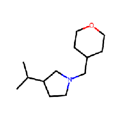 CC(C)C1CCN(CC2CCOCC2)C1